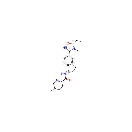 CCC1ONC(c2ccc3c(c2)CC[C@H]3NC(=O)C2=NCC(C)CC2)N1C